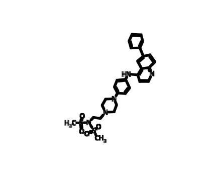 CS(=O)(=O)N(CCN1CCN(c2ccc(Nc3ccnc4ccc(-c5ccccc5)cc34)cc2)CC1)S(C)(=O)=O